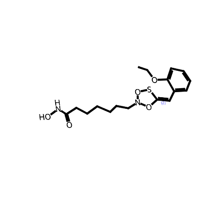 CCOc1ccccc1/C=C1/ON(CCCCCCC(=O)NO)OS1